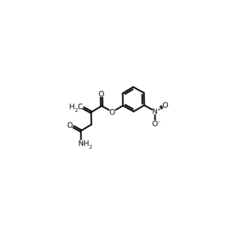 C=C(CC(N)=O)C(=O)Oc1cccc([N+](=O)[O-])c1